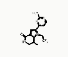 CC1CNC(=O)c2cc(-c3ccnc(N)n3)n(CC(F)(F)F)c21